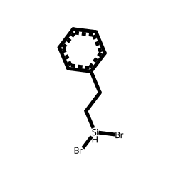 Br[SiH](Br)CCc1ccccc1